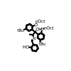 CCCCCCCCOc1ccc(C(C)(C)C)cc1C(O)(c1cc(C(C)(C)C)ccc1OCCCCCCCC)C(C)N=Cc1ccccc1O